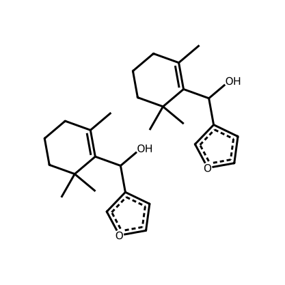 CC1=C(C(O)c2ccoc2)C(C)(C)CCC1.CC1=C(C(O)c2ccoc2)C(C)(C)CCC1